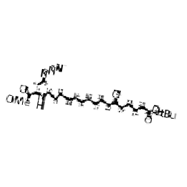 COC(=O)[C@H](CCN=[N+]=[N-])NCCCCCCCCCCC(=O)CCCCC(=O)OC(C)(C)C